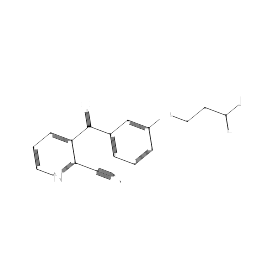 N#Cc1ncccc1C(=O)c1cccc(OCCC(F)F)c1